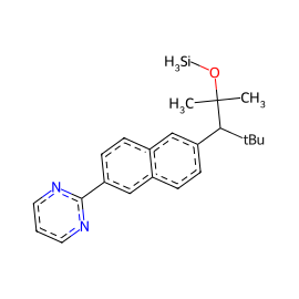 CC(C)(C)C(c1ccc2cc(-c3ncccn3)ccc2c1)C(C)(C)O[SiH3]